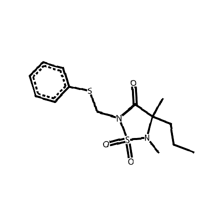 CCCC1(C)C(=O)N(CSc2ccccc2)S(=O)(=O)N1C